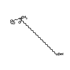 CCCCCCCCCCCCCCCCCCCCCCCCCCCCCCCCCCCCCCC(=O)N(C)CCCC1OCCO1